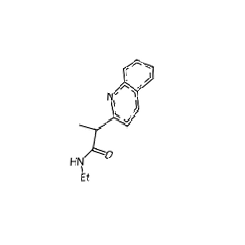 CCNC(=O)C(C)c1ccc2ccccc2n1